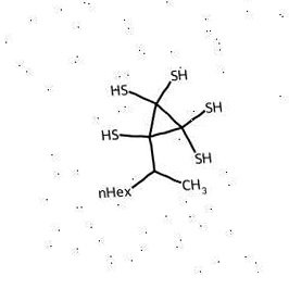 CCCCCCC(C)C1(S)C(S)(S)C1(S)S